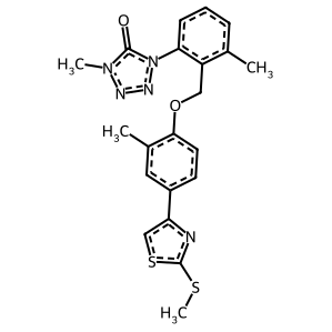 CSc1nc(-c2ccc(OCc3c(C)cccc3-n3nnn(C)c3=O)c(C)c2)cs1